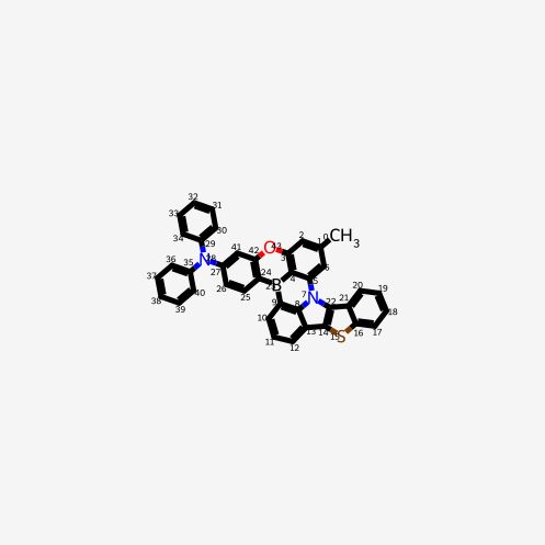 Cc1cc2c3c(c1)-n1c4c(cccc4c4sc5ccccc5c41)B3c1ccc(N(c3ccccc3)c3ccccc3)cc1O2